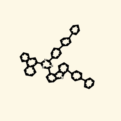 c1ccc(-c2ccc(-c3ccc(-c4nc(-c5cc6ccccc6c6ccccc56)nc(-c5cccc6oc7c(-c8ccc(-c9ccccc9)cc8)cccc7c56)n4)cc3)cc2)cc1